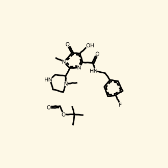 CC(C)(C)OC=O.CN1CCNCC1c1nc(C(=O)NCc2ccc(F)cc2)c(O)c(=O)n1C